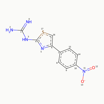 N=C(N)Nc1nc(-c2ccc([N+](=O)[O-])cc2)cs1